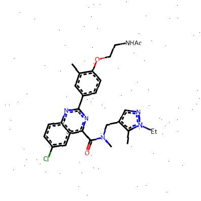 CCn1ncc(CN(C)C(=O)c2nc(-c3ccc(OCCNC(C)=O)c(C)c3)nc3ccc(Cl)cc23)c1C